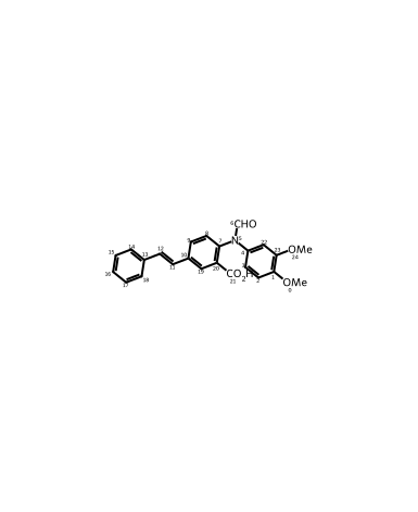 COc1ccc(N(C=O)c2ccc(/C=C/c3ccccc3)cc2C(=O)O)cc1OC